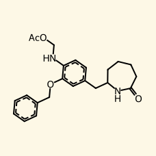 CC(=O)OCNc1ccc(CC2CCCCC(=O)N2)cc1OCc1ccccc1